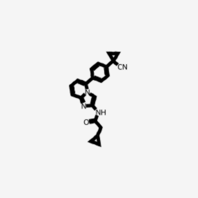 N#CC1(c2ccc(-c3cccc4nc(NC(=O)CC5CC5)cn34)cc2)CC1